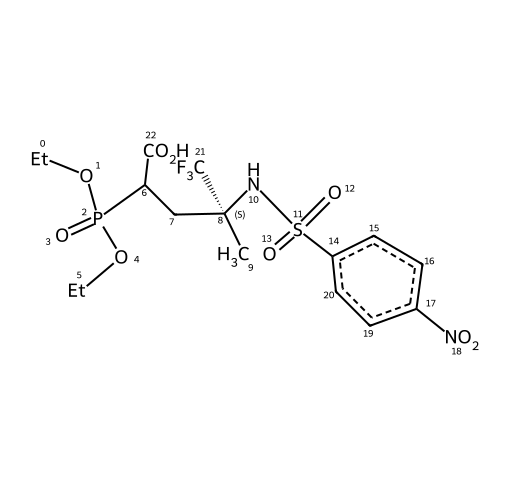 CCOP(=O)(OCC)C(C[C@](C)(NS(=O)(=O)c1ccc([N+](=O)[O-])cc1)C(F)(F)F)C(=O)O